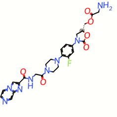 NCC(=O)OC[C@H]1CN(c2ccc(N3CCN(C(=O)CNC(=O)c4cn5ccncc5n4)CC3)c(F)c2)C(=O)O1